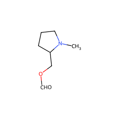 CN1CCCC1COC=O